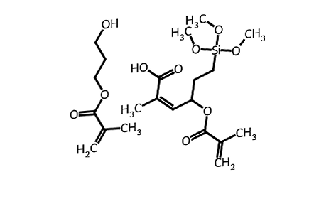 C=C(C)C(=O)OC(C=C(C)C(=O)O)CC[Si](OC)(OC)OC.C=C(C)C(=O)OCCCO